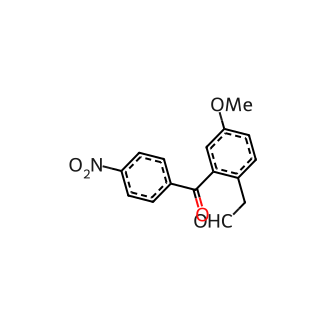 COc1ccc(CC=O)c(C(=O)c2ccc([N+](=O)[O-])cc2)c1